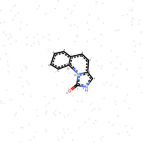 O=c1[nH]cc2ccc3ccccc3n12